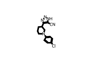 N#Cc1[nH]nnc1C1CCCN(c2ccc(Cl)cc2)C1